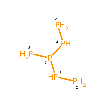 PPP(P)PP